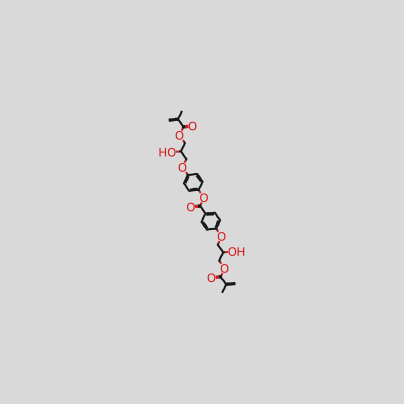 C=C(C)C(=O)OCC(O)COc1ccc(OC(=O)c2ccc(OCC(O)COC(=O)C(=C)C)cc2)cc1